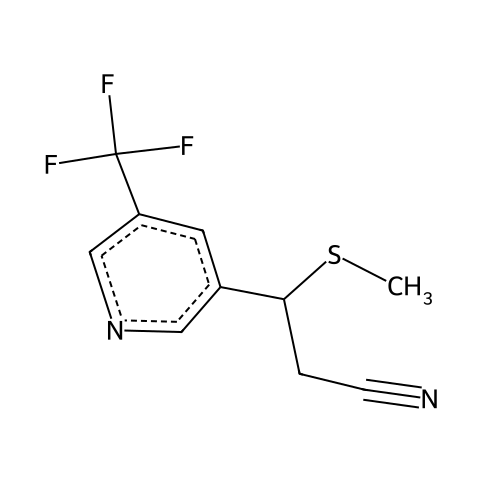 CSC(CC#N)c1cncc(C(F)(F)F)c1